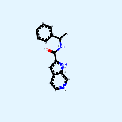 CC(NC(=O)c1cc2ccncc2[nH]1)c1ccccc1